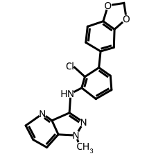 Cn1nc(Nc2cccc(-c3ccc4c(c3)OCO4)c2Cl)c2ncccc21